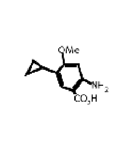 COc1cc(N)c(C(=O)O)cc1C1CC1